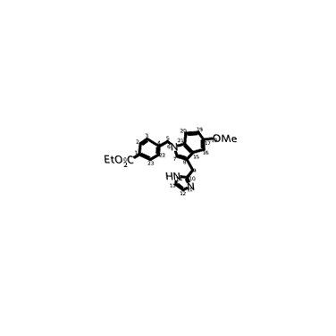 CCOC(=O)c1ccc(Cn2cc(Cc3ncc[nH]3)c3cc(OC)ccc32)cc1